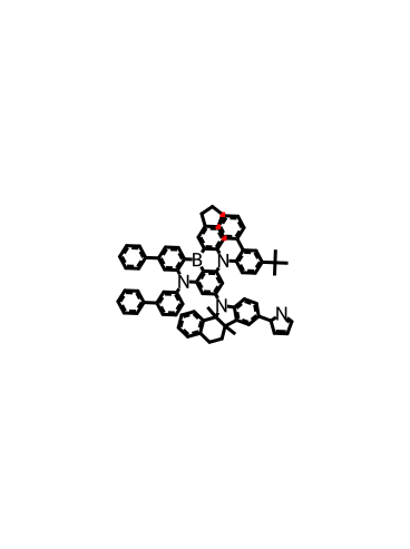 CC(C)(C)c1ccc(N2c3cc4c(cc3B3c5ccc(-c6ccccc6)cc5N(c5cccc(-c6ccccc6)c5)c5cc(N6c7ccc(C8C=CC=N8)cc7C7(C)CCc8ccccc8C67C)cc2c53)CCC4)c(-c2ccccc2)c1